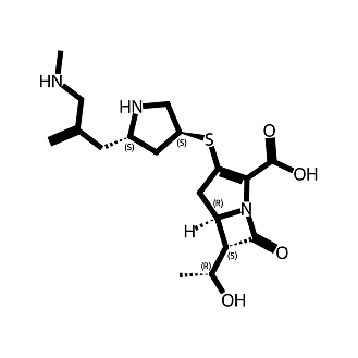 C=C(CNC)C[C@H]1C[C@H](SC2=C(C(=O)O)N3C(=O)[C@H]([C@@H](C)O)[C@H]3C2)CN1